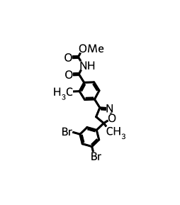 COC(=O)NC(=O)c1ccc(C2=NOC(C)(c3cc(Br)cc(Br)c3)C2)cc1C